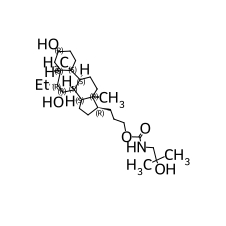 CC[C@H]1[C@@H](O)[C@@H]2[C@H](CC[C@]3(C)[C@@H](CCCOC(=O)NCC(C)(C)O)CC[C@@H]23)[C@@]2(C)CC[C@@H](O)C[C@@H]12